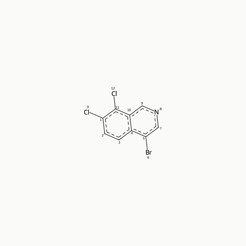 Clc1ccc2c(Br)cncc2c1Cl